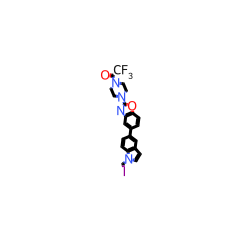 O=C(N1CCN(c2nc3cc(-c4ccc5c(ccn5CI)c4)ccc3o2)CC1)C(F)(F)F